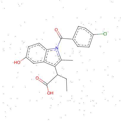 CCC(C(=O)O)c1c(C)n(C(=O)c2ccc(Cl)cc2)c2ccc(O)cc12